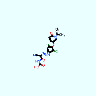 CC(C)n1cc(Oc2c(Cl)cc(NN=C(C#N)C(=O)NC(=O)O)cc2Cl)ccc1=O